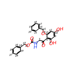 O=C(NCC(=O)c1c(O)cc(O)cc1OCc1ccccc1)OCc1ccccc1